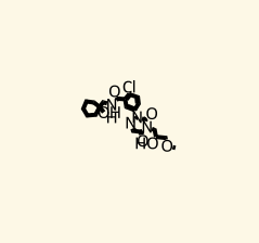 COCC(O)Cn1c(=O)cnn(-c2ccc(Cl)c(C(=O)NCC3(O)CCCCC3)c2)c1=O